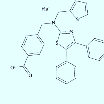 O=C([O-])c1ccc(CN(Cc2cccs2)c2nc(-c3ccccc3)c(-c3ccccc3)s2)cc1.[Na+]